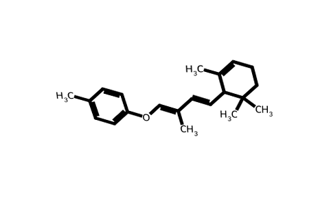 CC1=CCCC(C)(C)C1/C=C/C(C)=C/Oc1ccc(C)cc1